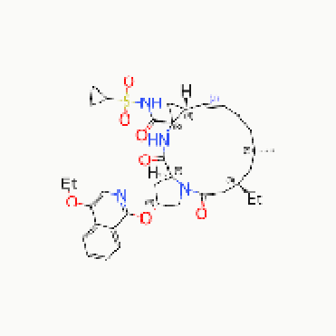 CCOc1cnc(O[C@@H]2C[C@H]3C(=O)N[C@]4(C(=O)NS(=O)(=O)C5CC5)C[C@@H]4/C=C\CC[C@H](C)C[C@@H](CC)CC(=O)N3C2)c2ccccc12